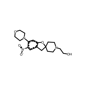 O=[N+]([O-])c1cc2c(cc1N1CCOCC1)OC1(CCN(CCO)CC1)C2